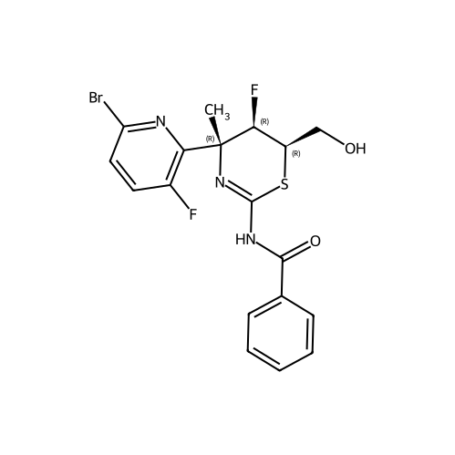 C[C@]1(c2nc(Br)ccc2F)N=C(NC(=O)c2ccccc2)S[C@H](CO)[C@@H]1F